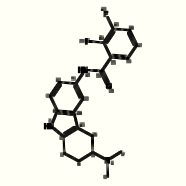 CN(C)C1CCc2[nH]c3ccc(NC(=O)c4cccc(F)c4F)cc3c2C1